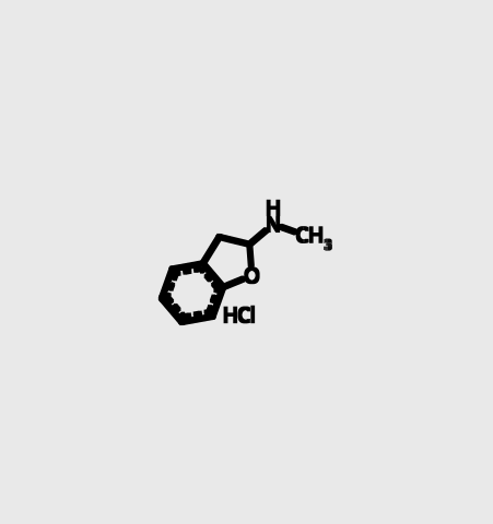 CNC1Cc2ccccc2O1.Cl